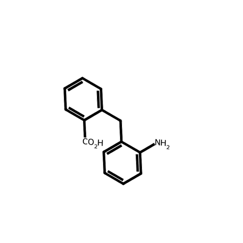 Nc1ccccc1Cc1ccccc1C(=O)O